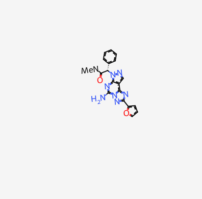 CNC(=O)[C@H](c1ccccc1)n1ncc2c1nc(N)n1nc(-c3ccco3)nc21